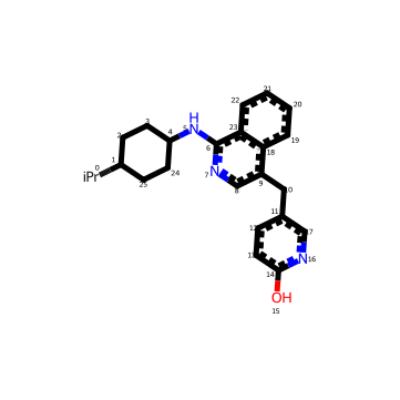 CC(C)C1CCC(Nc2ncc(Cc3ccc(O)nc3)c3ccccc23)CC1